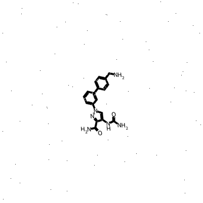 NCc1ccc(-c2cccc(-n3cc(NC(N)=O)c(C(N)=O)n3)c2)cc1